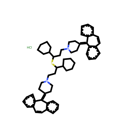 C1=Cc2ccccc2C(=C2CCN(CCC(SC(CCN3CCC(=C4c5ccccc5C=Cc5ccccc54)CC3)C3CCCCC3)C3CCCCC3)CC2)c2ccccc21.Cl